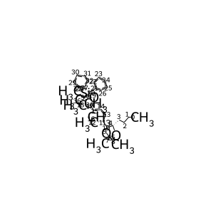 CCCC[C@@H]1OC(C)(C)OC1[C@H](C)/C=C\[C@@H](C)[C@H](C)O[Si](c1ccccc1)(c1ccccc1)C(C)(C)C